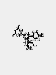 CC1CC(C)OC(c2nc(-c3ccc(F)cc3)c(-c3ccncc3)[nH]2)O1